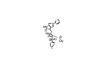 Cc1ccc(S(=O)(=O)c2c(C)[nH]c(/C=C3\C(=O)Nc4ccc(-c5ccccc5)cc43)c2CCC(=O)O)cc1